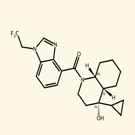 O=C(c1cccc2c1ncn2CC(F)(F)F)N1CC[C@](O)(C2CC2)[C@H]2CCCC[C@H]21